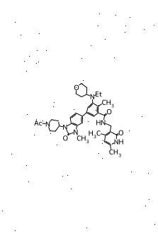 CCN(c1cc(-c2ccc3c(c2)n(C)c(=O)n3C2CCN(C(C)=O)CC2)cc(C(=O)NCc2c(C)cc(C)[nH]c2=O)c1C)C1CCOCC1